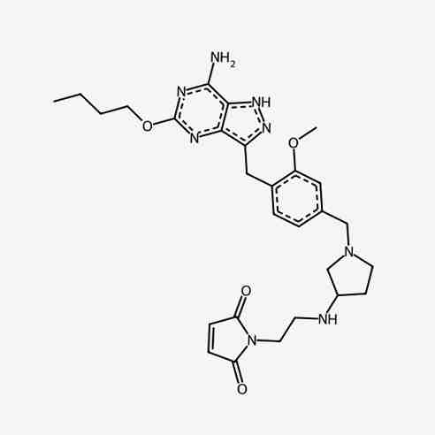 CCCCOc1nc(N)c2[nH]nc(Cc3ccc(CN4CCC(NCCN5C(=O)C=CC5=O)C4)cc3OC)c2n1